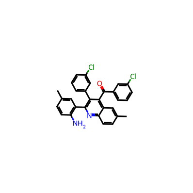 Cc1ccc(N)c(-c2nc3ccc(C)cc3c(C(=O)c3cccc(Cl)c3)c2-c2cccc(Cl)c2)c1